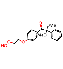 COC(OC)(C(=O)c1ccc(OCCOO)cc1)c1ccccc1